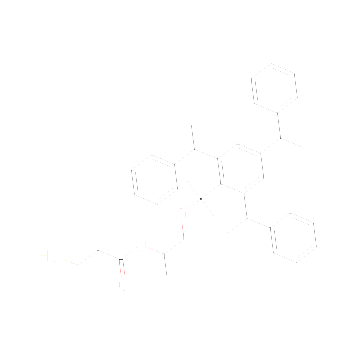 CC(COC(C)(C)c1c(C(C)c2ccccc2)cc(C(C)c2ccccc2)cc1C(C)c1ccccc1)OC(=O)CCS